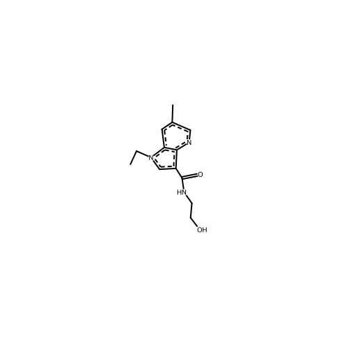 CCn1cc(C(=O)NCCO)c2ncc(C)cc21